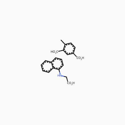 Cc1ccc(C(=O)O)cc1C(=O)O.O=C(O)CNc1cccc2ccccc12